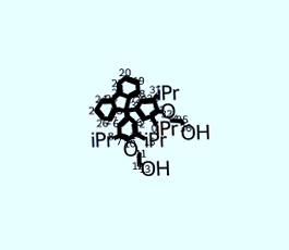 CC(C)c1cc(C2(c3cc(C(C)C)c(OCCO)c(C(C)C)c3)c3ccccc3-c3ccccc32)cc(C(C)C)c1OCCO